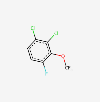 Fc1ccc(Cl)c(Cl)c1OC(F)(F)F